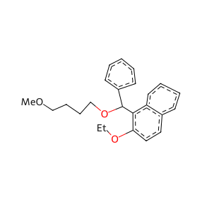 CCOc1ccc2ccccc2c1C(OCCCCOC)c1ccccc1